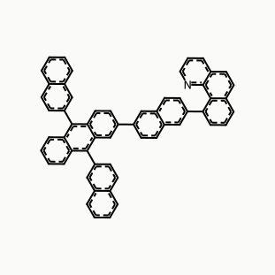 c1ccc2cc(-c3c4ccccc4c(-c4ccc5ccccc5c4)c4cc(-c5ccc6cc(-c7cccc8ccc9cccnc9c78)ccc6c5)ccc34)ccc2c1